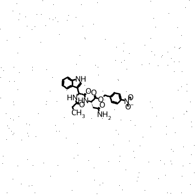 CCC(=O)NC(C(=O)N[C@@H](CC(N)=O)C(=O)OCc1ccc([N+](=O)[O-])cc1)c1c[nH]c2ccccc12